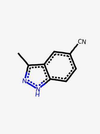 Cc1n[nH]c2ccc(C#N)cc12